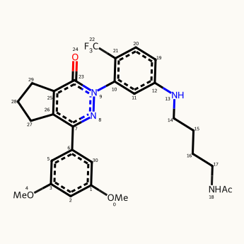 COc1cc(OC)cc(-c2nn(-c3cc(NCCCCNC(C)=O)ccc3C(F)(F)F)c(=O)c3c2CCC3)c1